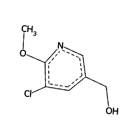 COc1ncc(CO)cc1Cl